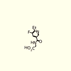 CCc1ncc(C(=O)NCC(=O)O)cc1F